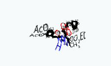 CCOC(=O)C1=C(C)N=c2[nH]c(=Cc3ccc(OC(C)=O)c(OC(C)=O)c3)c(=O)n2C1C1=COC(Cc2ccccc2)O1